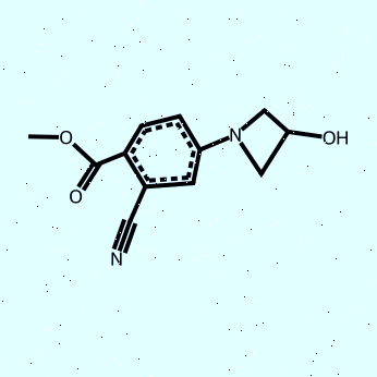 COC(=O)c1ccc(N2CC(O)C2)cc1C#N